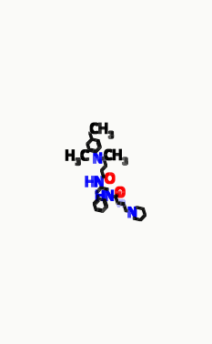 CCC1C=CC(/N=C(\C)CCC(=O)NC(CNC(=O)/C=C/CN2CCCCC2)Cc2ccccc2)=C(C)C1